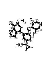 Cn1cc(-c2cc(C3(O)CC3)ccc2Oc2c(F)cncc2F)c2ccsc2c1=O